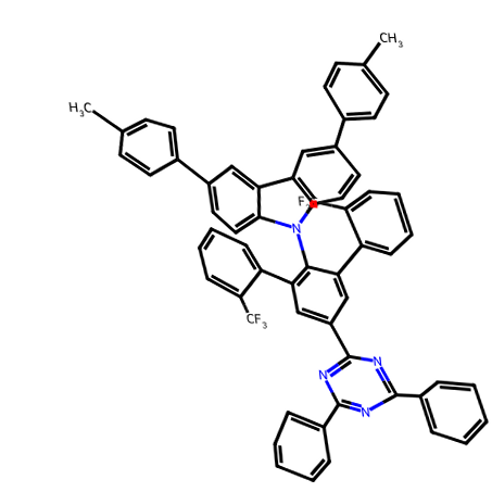 Cc1ccc(-c2ccc3c(c2)c2cc(-c4ccc(C)cc4)ccc2n3-c2c(-c3ccccc3C(F)(F)F)cc(-c3nc(-c4ccccc4)nc(-c4ccccc4)n3)cc2-c2ccccc2C(F)(F)F)cc1